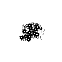 Cc1ccccc1-c1cccc(N(c2ccccc2)c2cc3c4c5c2c2cc6ccccc6cc2n5-c2cc5c(cc2B4N(c2ccc4c(c2)C(C)(C)CCC4(C)C)c2cc4c(cc2-3)C(C)(C)CCC4(C)C)C(C)(C)CCC5(C)C)c1